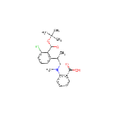 CC(CN(C)c1ccccc1C(=O)O)c1cccc(Cl)c1C(=O)OC(C)(C)C